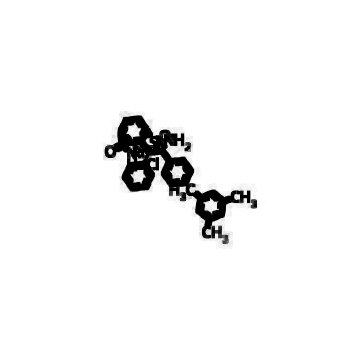 Cc1cc(C)cc(C)c1.N[C@@H](c1ccccc1)[C@H](c1ccccc1)c1cc2ccc1[S](=O)(=O)[Ru]([Cl])[NH]C2=O